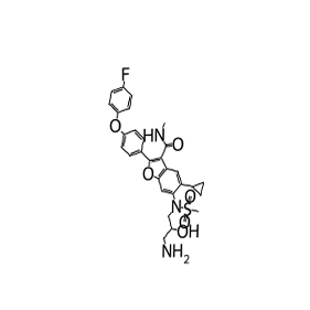 CNC(=O)c1c(-c2ccc(Oc3ccc(F)cc3)cc2)oc2cc(N(CC(O)CN)S(C)(=O)=O)c(C3CC3)cc12